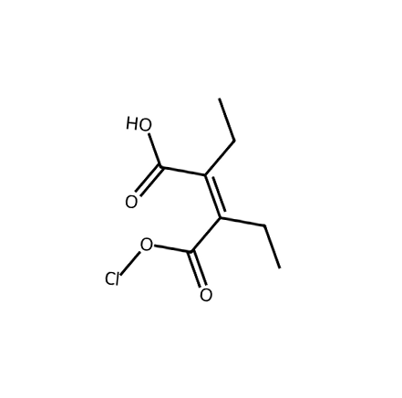 CC/C(C(=O)O)=C(\CC)C(=O)OCl